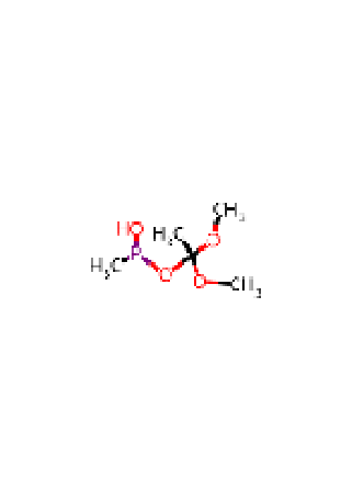 COC(C)(OC)OP(C)O